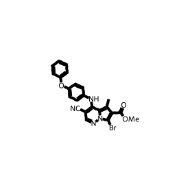 COC(=O)c1c(C)c2c(Nc3ccc(Oc4ccccc4)cc3)c(C#N)cnn2c1Br